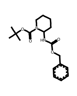 CC(C)(C)OC(=O)N1CCCCC1NC(=O)OCc1ccccc1